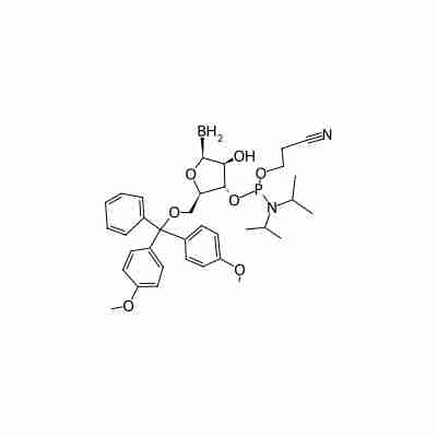 B[C@@H]1O[C@H](COC(c2ccccc2)(c2ccc(OC)cc2)c2ccc(OC)cc2)[C@@H](OP(OCCC#N)N(C(C)C)C(C)C)[C@@H]1O